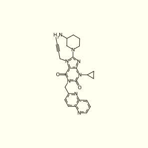 CC#CCn1c(N2CCCC(N)C2)nc2c1c(=O)n(Cc1ccc3ncccc3n1)c(=O)n2C1CC1